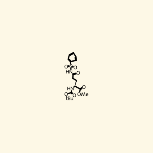 COC(=O)[C@H](CCC(=O)NS(=O)(=O)c1ccccc1)NC(=O)OC(C)(C)C